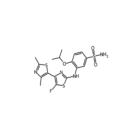 Cc1nc(C)c(-c2nc(Nc3cc(S(N)(=O)=O)ccc3OC(C)C)sc2F)s1